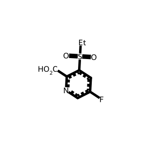 CCS(=O)(=O)c1cc(F)cnc1C(=O)O